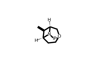 C=C1[C@H]2COCC[C@@H]1N2C(C)C